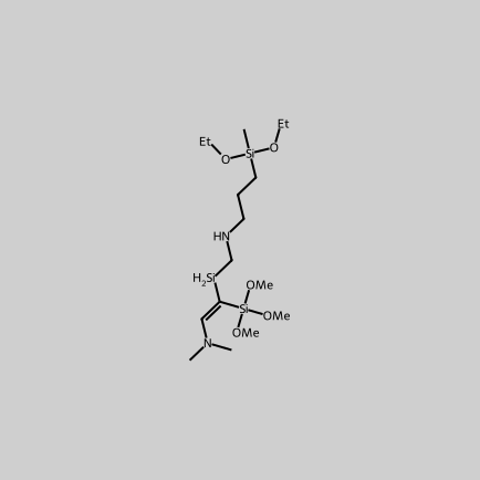 CCO[Si](C)(CCCNC[SiH2]C(=CN(C)C)[Si](OC)(OC)OC)OCC